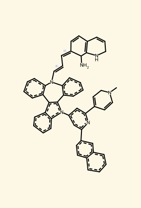 CN1C=CC(c2cc(-n3c4c(c5ccccc53)-c3ccccc3N(/C=C/C=C3/C=CC5=C(NCC=C5)C3N)c3ccccc3-4)cc(-c3ccc4ccccc4c3)n2)=CC1